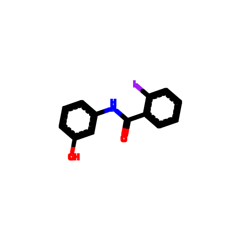 O=C(Nc1cccc(O)c1)c1ccccc1I